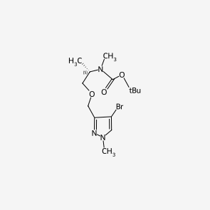 C[C@@H](COCc1nn(C)cc1Br)N(C)C(=O)OC(C)(C)C